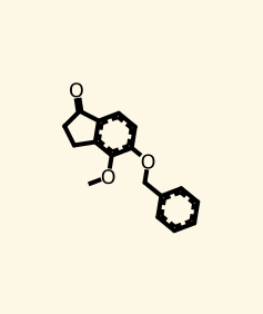 COc1c(OCc2ccccc2)ccc2c1CCC2=O